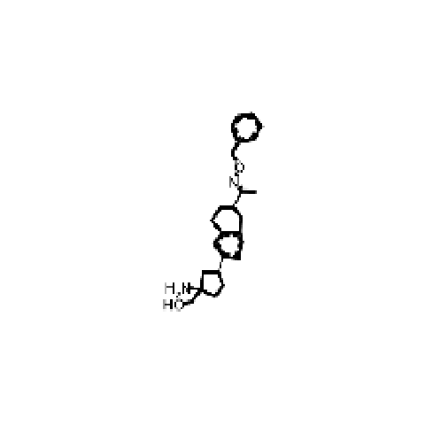 C/C(=N\OCc1ccccc1)[C@@H]1CCc2cc([C@H]3CC[C@](N)(CO)C3)ccc2C1